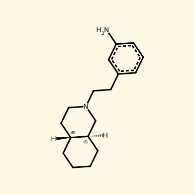 Nc1cccc(CCN2CC[C@H]3CCCC[C@@H]3C2)c1